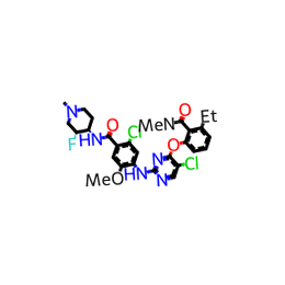 CCc1cccc(Oc2nc(Nc3cc(Cl)c(C(=O)N[C@H]4CCN(C)C[C@H]4F)cc3OC)ncc2Cl)c1C(=O)NC